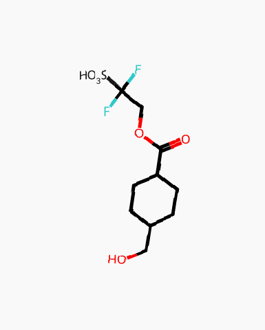 O=C(OCC(F)(F)S(=O)(=O)O)C1CCC(CO)CC1